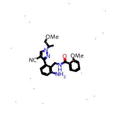 COCC(C)n1cc(C#N)c(-c2cccc(N)c2CNC(=O)c2ccccc2OC)n1